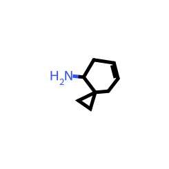 NC1CC=CCC12CC2